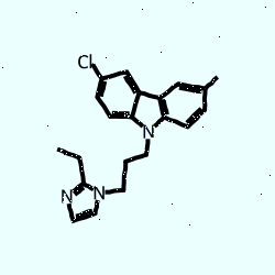 CCc1nccn1CCCn1c2ccc(C)cc2c2cc(Cl)ccc21